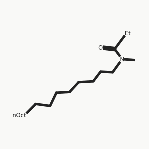 CCCCCCCCCCCCCCCCN(C)C(=O)CC